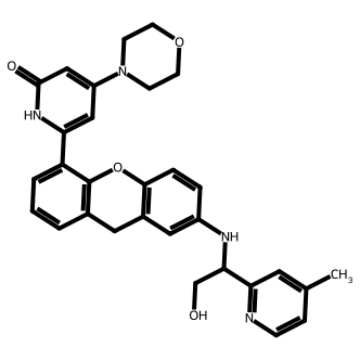 Cc1ccnc(C(CO)Nc2ccc3c(c2)Cc2cccc(-c4cc(N5CCOCC5)cc(=O)[nH]4)c2O3)c1